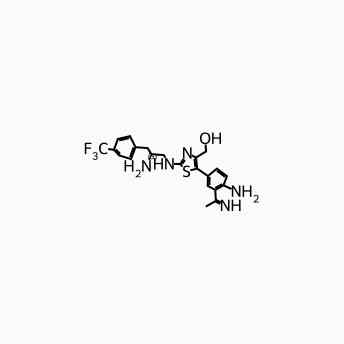 CC(=N)c1cc(-c2sc(NC[C@@H](N)Cc3ccc(C(F)(F)F)cc3)nc2CO)ccc1N